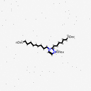 CCCCCCCCCCCCCCCCCCCN1C=CN(CCCCCC)C1CCCCCCCCCCCCCCCC